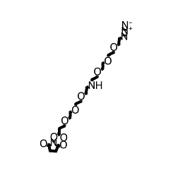 [N-]=[N+]=NCCOCCOCCOCCNCCOCCOCCOCCC(=O)ON1C(=O)CCC1=O